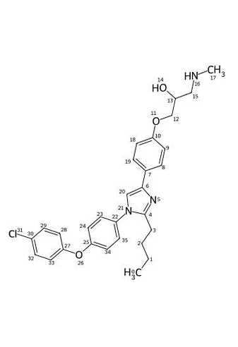 CCCCc1nc(-c2ccc(OCC(O)CNC)cc2)cn1-c1ccc(Oc2ccc(Cl)cc2)cc1